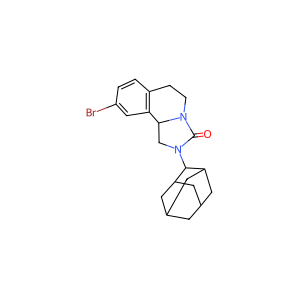 O=C1N2CCc3ccc(Br)cc3C2CN1C1C2CC3CC(C2)CC1C3